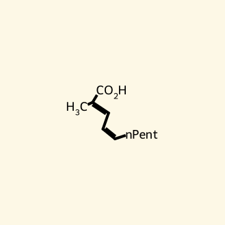 CCCCC/C=C\C=C(/C)C(=O)O